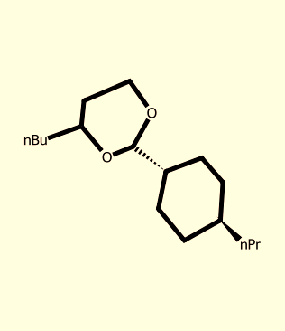 CCCCC1CCOC([C@H]2CC[C@H](CCC)CC2)O1